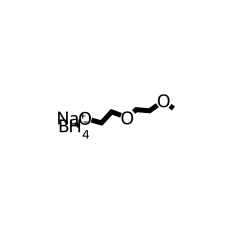 COCCOCCOC.[BH4-].[Na+]